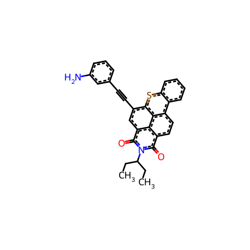 CCC(CC)n1c(=O)c2ccc3c4ccccc4sc4c(C#Cc5cccc(N)c5)cc(c1=O)c2c43